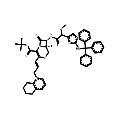 COC(C(=O)N[C@@H]1C(=O)N2C(C(=O)OC(C)(C)C)=C(C=CC[n+]3cccc4c3CCCC4)SC[C@H]12)c1csc(NC(c2ccccc2)(c2ccccc2)c2ccccc2)n1